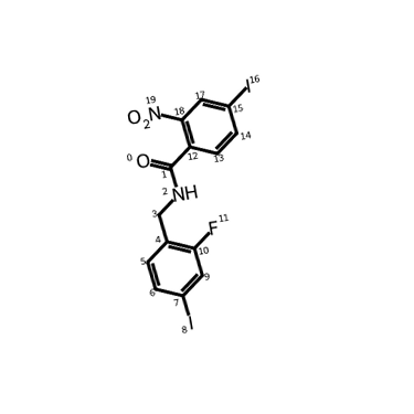 O=C(NCc1ccc(I)cc1F)c1ccc(I)cc1[N+](=O)[O-]